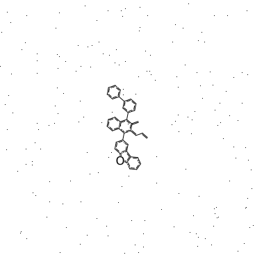 C=C/C=c1/c(-c2ccc3oc4ccccc4c3c2)c2ccccc2c(-c2cccc(-c3ccccc3)c2)c1=C